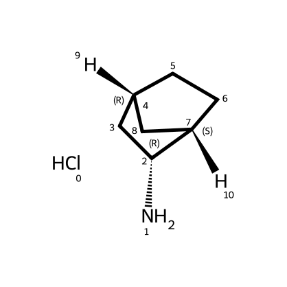 Cl.N[C@@H]1C[C@@H]2CC[C@H]1C2